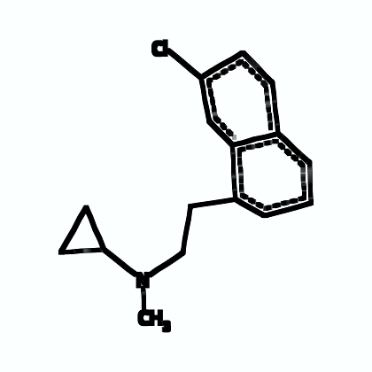 CN(CCc1cccc2ccc(Cl)cc12)C1CC1